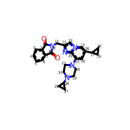 O=C1c2ccccc2C(=O)N1Cc1cn2cc(C3CC3)cc(N3CCN(C4CC4)CC3)c2n1